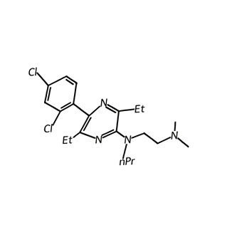 CCCN(CCN(C)C)c1nc(CC)c(-c2ccc(Cl)cc2Cl)nc1CC